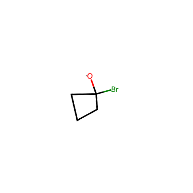 [O]C1(Br)CCC1